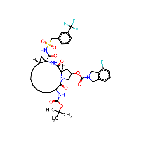 CC(C)(C)OC(=O)N[C@H]1CCCCCCC[C@@H]2C[C@@]2(C(=O)NS(=O)(=O)Cc2cccc(C(F)(F)F)c2)NC(=O)[C@@H]2C[C@@H](OC(=O)N3Cc4cccc(F)c4C3)CN2C1=O